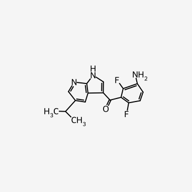 CC(C)c1cnc2[nH]cc(C(=O)c3c(F)ccc(N)c3F)c2c1